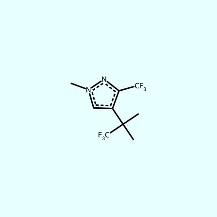 Cn1cc(C(C)(C)C(F)(F)F)c(C(F)(F)F)n1